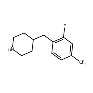 Fc1cc(C(F)(F)F)ccc1CC1CCNCC1